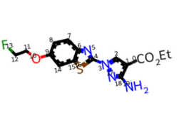 CCOC(=O)c1cn(-c2nc3ccc(OCCF)cc3s2)nc1N